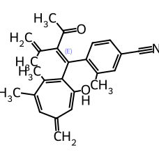 C=C1C=C(C)C(C)=C(/C(=C(\C(=C)C)C(C)=O)c2ccc(C#N)cc2C)C(O)=C1